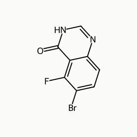 O=c1[nH]cnc2ccc(Br)c(F)c12